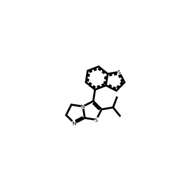 CC(C)C1=C(c2cccc3sccc23)N2CCN=C2S1